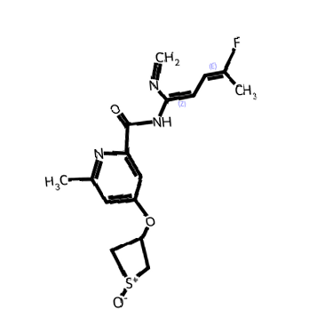 C=N/C(=C\C=C(/C)F)NC(=O)c1cc(OC2C[S+]([O-])C2)cc(C)n1